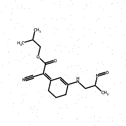 CC(C)COC(=O)/C(C#N)=C1\C=C(NCC(C)N=O)CCC1